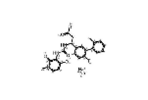 Cc1ccccc1-c1cc([C@H](CC(=O)[O-])NC(=O)Nc2c([O-])ccn(C)c2=O)ccc1F.[Na+].[Na+]